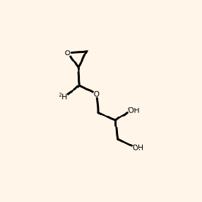 [2H]C(OCC(O)CO)C1CO1